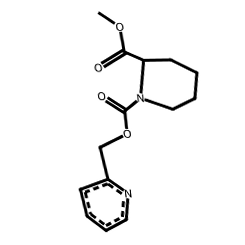 COC(=O)C1CCCCN1C(=O)OCc1ccccn1